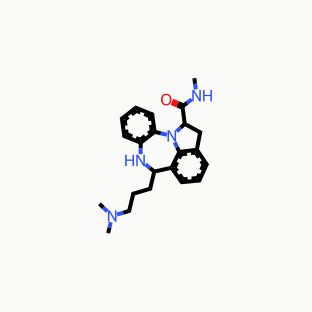 CNC(=O)C1Cc2cccc3c2N1c1ccccc1NC3CCCN(C)C